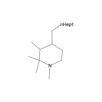 CCCCCCCCC1CCN(C)C(C)(C)C1C